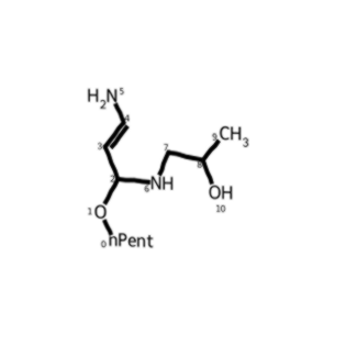 CCCCCOC(C=CN)NCC(C)O